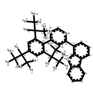 [2H]C([2H])([2H])C([2H])(c1cc(C([2H])(C([2H])([2H])[2H])C([2H])([2H])[2H])c(-c2cc(-c3cccc4c3oc3ccccc34)ncn2)c(C([2H])(C([2H])([2H])[2H])C([2H])([2H])[2H])c1)C([2H])([2H])[2H]